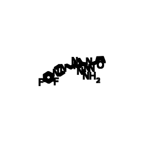 Nc1nc2c(c3nc(-c4ccco4)nn13)C=NI2CCN1CCN(c2ccc(F)cc2F)CC1